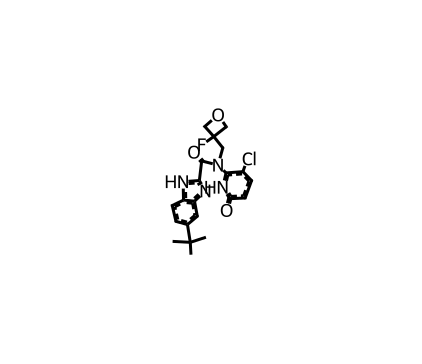 CC(C)(C)c1ccc2[nH]c(C(=O)N(CC3(F)COC3)c3[nH]c(=O)ccc3Cl)nc2c1